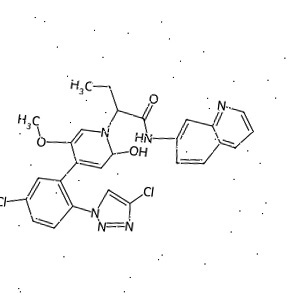 CCC(C(=O)Nc1ccc2cccnc2c1)N1C=C(OC)C(c2cc(Cl)ccc2-n2cc(Cl)nn2)=CC1O